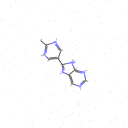 Cc1ncc(-c2nc3cncnc3[nH]2)cn1